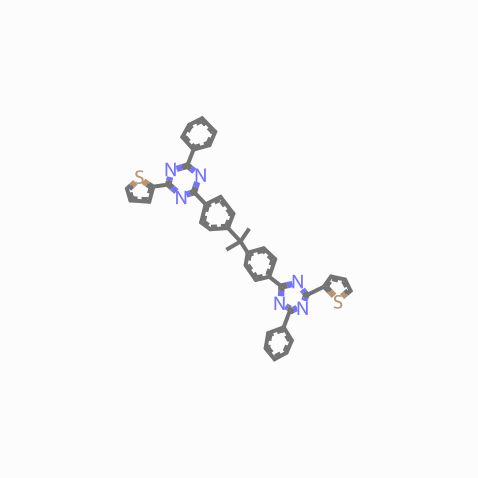 CC(C)(c1ccc(-c2nc(-c3ccccc3)nc(-c3cccs3)n2)cc1)c1ccc(-c2nc(-c3ccccc3)nc(-c3cccs3)n2)cc1